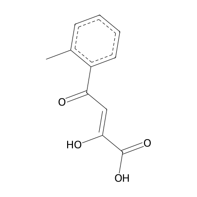 Cc1ccccc1C(=O)C=C(O)C(=O)O